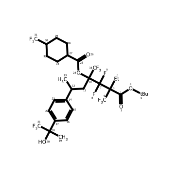 CCC(C(=O)OC(C)(C)C)(C(F)(F)F)C(F)(F)C(CC(C)c1ccc(C(C)(O)C(F)(F)F)cc1)(OC(=O)C1CCC(C(F)(F)F)CC1)C(F)(F)F